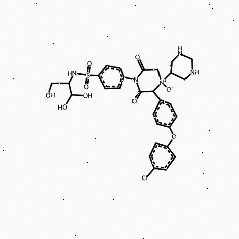 O=C1C[N+]([O-])(C2CNCNC2)C(c2ccc(Oc3ccc(Cl)cc3)cc2)C(=O)N1c1ccc(S(=O)(=O)NC(CO)C(O)O)cc1